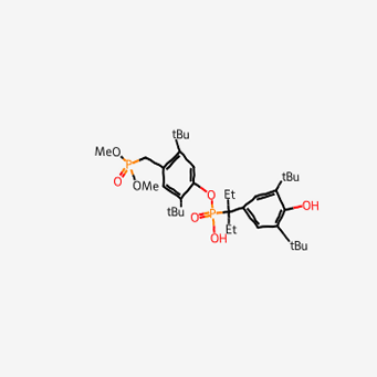 CCC(CC)(c1cc(C(C)(C)C)c(O)c(C(C)(C)C)c1)P(=O)(O)Oc1cc(C(C)(C)C)c(CP(=O)(OC)OC)cc1C(C)(C)C